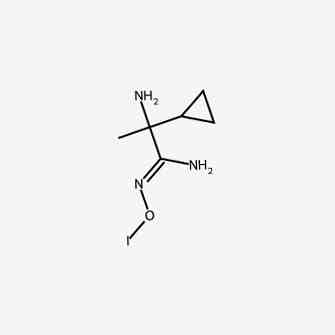 CC(N)(/C(N)=N/OI)C1CC1